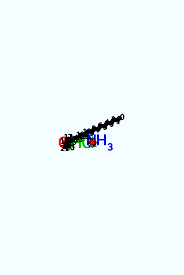 CCCCCCCCCCCCCCCCC1(C)OC1(C)C.Cl.N